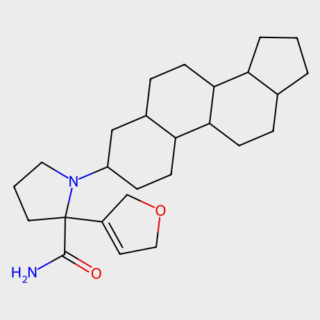 NC(=O)C1(C2=CCOC2)CCCN1C1CCC2C(CCC3C4CCCC4CCC23)C1